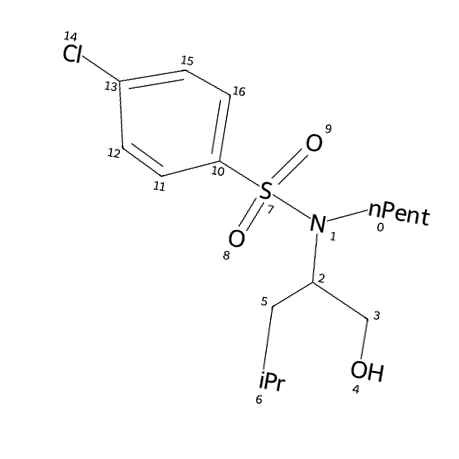 CCCCCN(C(CO)CC(C)C)S(=O)(=O)c1ccc(Cl)cc1